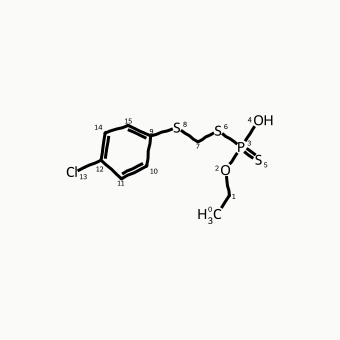 CCOP(O)(=S)SCSc1ccc(Cl)cc1